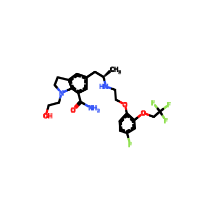 C[C@H](Cc1cc2c(c(C(N)=O)c1)N(CCO)CC2)NCCOc1ccc(F)cc1OCC(F)(F)F